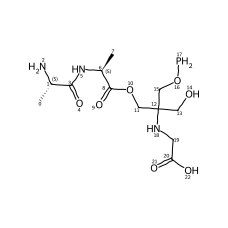 C[C@H](N)C(=O)N[C@@H](C)C(=O)OCC(CO)(COP)NCC(=O)O